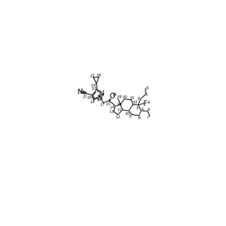 CCCC1(F)C(CC)CCC2C3CCC(C(=O)Cn4cc(C#N)c(C5CC5)n4)C3(C)CCC21